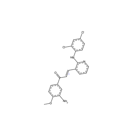 COc1ccc(C(=O)/C=C/c2cccnc2Nc2ccc(Cl)cc2Cl)cc1N